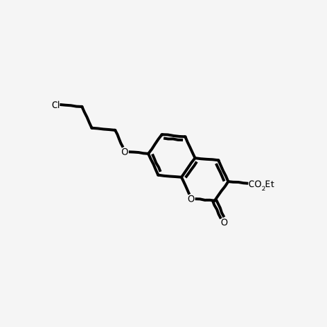 CCOC(=O)c1cc2ccc(OCCCCl)cc2oc1=O